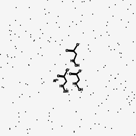 O=C([O-])CNO.O=C([O-])CNO.O=C([O-])CNO.[Al+3]